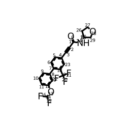 O=C(C#Cc1ccc(-c2cccc(OC(F)F)c2)c(C(F)(F)F)c1)N[C@@H]1CCOC1